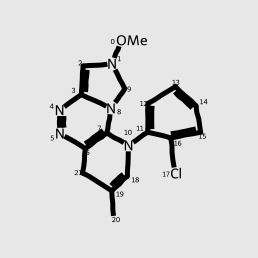 CON1C=C2N=NC3=C(N2C1)N(c1ccccc1Cl)C=C(C)C3